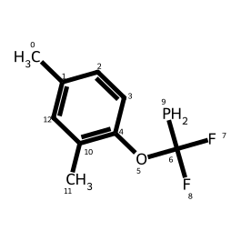 Cc1ccc(OC(F)(F)P)c(C)c1